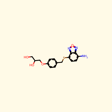 Nc1ccc(SCc2ccc(OCC(O)CO)cc2)c2nonc12